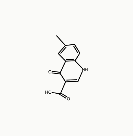 Cc1ccc2[nH]cc(C(=O)O)c(=O)c2c1